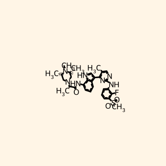 Cc1cnc(Nc2cccc(S(C)(=O)=O)c2F)nc1-c1c[nH]c2c(NC(=O)C(C)N3C[C@H](C)N(C)[C@@H](C)C3)cccc12